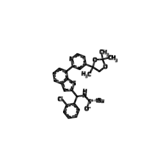 CC1(C)OCC(C)(c2ccnc(-c3cccc4cc(C(N[S@@+]([O-])C(C)(C)C)c5ccccc5Cl)sc34)c2)O1